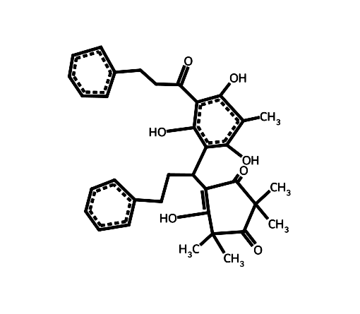 Cc1c(O)c(C(=O)CCc2ccccc2)c(O)c(C(CCc2ccccc2)C2=C(O)C(C)(C)C(=O)C(C)(C)C2=O)c1O